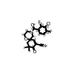 CC1(C)CC2(C=C(C#N)C1=O)CN(C(=O)c1ccc(F)c(Cl)c1F)CCO2